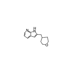 c1cnc2[nH]c(CC3CCOCC3)cc2c1